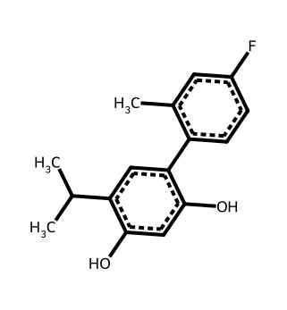 Cc1cc(F)ccc1-c1cc(C(C)C)c(O)cc1O